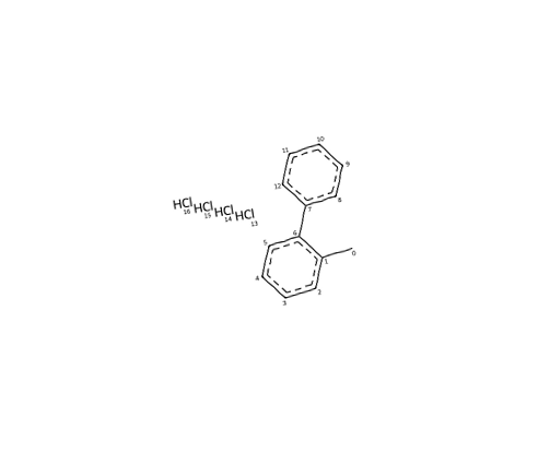 Cc1ccccc1-c1ccccc1.Cl.Cl.Cl.Cl